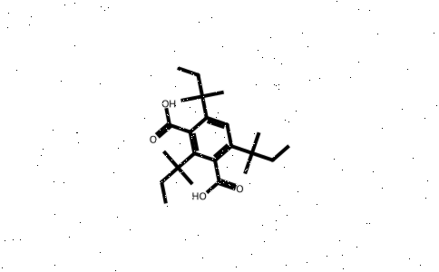 CCC(C)(C)c1cc(C(C)(C)CC)c(C(=O)O)c(C(C)(C)CC)c1C(=O)O